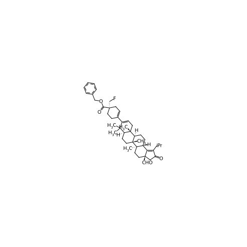 CC(C)C1=C2[C@H]3CC[C@@H]4[C@@]5(C)CC=C(C6=CC[C@](CF)(C(=O)OCc7ccccc7)CC6)C(C)(C)[C@@H]5CC[C@@]4(C)[C@]3(C)CC[C@@]2(C=O)CC1=O